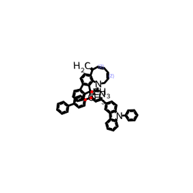 C=C1/C=C\C=C/CN(c2nc(-c3ccc(-c4ccccc4)cc3)cc(-c3ccc4c(c3)c3ccccc3n4-c3ccccc3)n2)c2c1ccc1c2C(C)(C)c2ccccc2-1